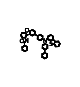 c1ccc(-c2ccc(N(c3ccc(-c4ccc5oc6ccc7oc(-c8ccccc8)nc7c6c5c4)cc3)c3cccc4c3sc3ccccc34)cc2)cc1